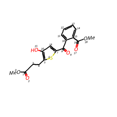 COC(=O)CCc1sc(C(=O)c2ccccc2C(=O)OC)cc1O